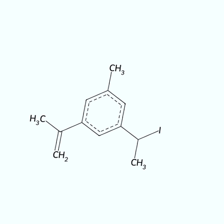 C=C(C)c1cc(C)cc(C(C)I)c1